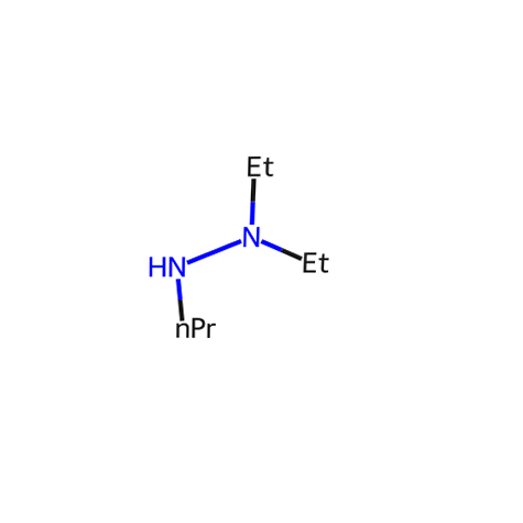 CCCNN(CC)CC